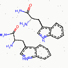 NC(=O)C(N)Cc1c[nH]c2ccccc12.NC(=O)[C@@H](N)Cc1c[nH]c2ccccc12